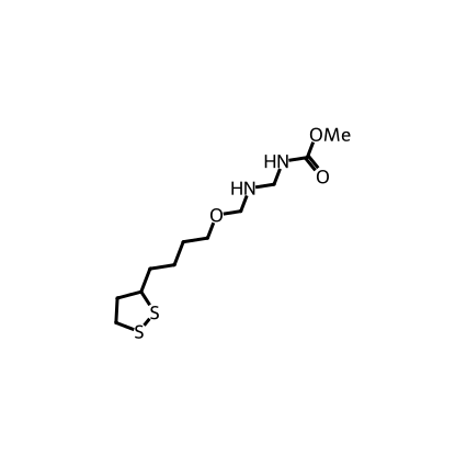 COC(=O)NCNCOCCCCC1CCSS1